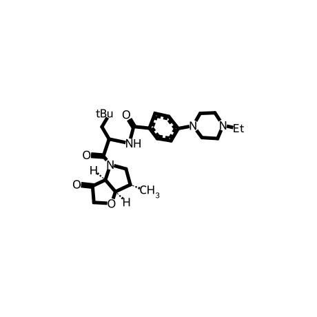 CCN1CCN(c2ccc(C(=O)NC(CC(C)(C)C)C(=O)N3C[C@H](C)[C@H]4OCC(=O)[C@H]43)cc2)CC1